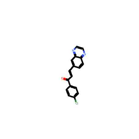 O=C(/C=C/c1ccc2nccnc2c1)c1ccc(Cl)cc1